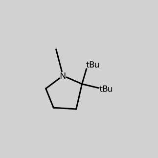 CN1CCCC1(C(C)(C)C)C(C)(C)C